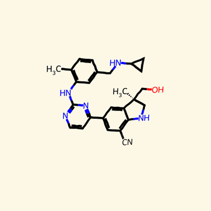 Cc1ccc(CNC2CC2)cc1Nc1nccc(-c2cc(C#N)c3c(c2)[C@@](C)(CO)CN3)n1